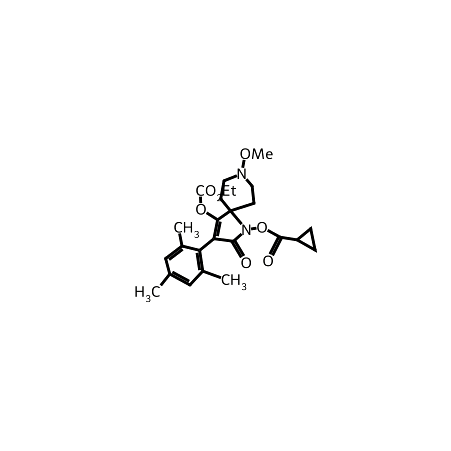 CCOC(=O)OC1=C(c2c(C)cc(C)cc2C)C(=O)N(OC(=O)C2CC2)C12CCN(OC)CC2